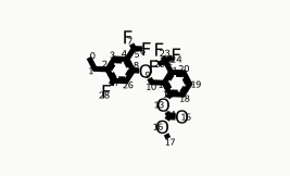 CCc1cc(C(F)F)c(OCc2c(OC(=O)OC)cccc2C(F)(F)F)cc1F